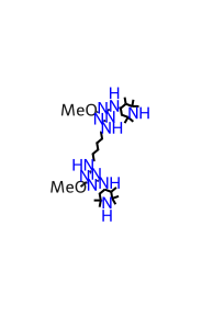 COc1nc(NCCCCCCNc2nc(NC3CC(C)(C)NC(C)(C)C3C)nc(OC)n2)nc(NC2CC(C)(C)NC(C)(C)C2C)n1